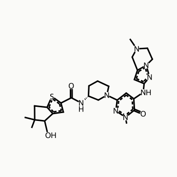 CN1CCn2nc(Nc3cc(N4CCC[C@@H](NC(=O)c5cc6c(s5)CC(C)(C)C6O)C4)nn(C)c3=O)cc2C1